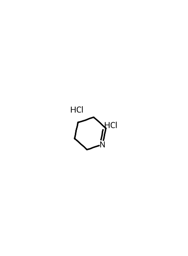 C1=NCCCC1.Cl.Cl